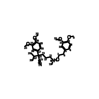 COc1ccc(CCON(C)CCCC(C#N)(c2ccc(OC)c(OC)c2)C(C)C)cc1OC